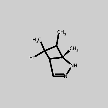 CCC1(C)C(C)[C@]2(C)NN=CC12